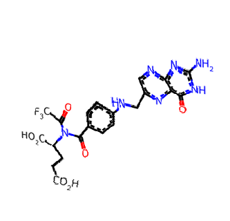 Nc1nc2ncc(CNc3ccc(C(=O)N(C(=O)C(F)(F)F)[C@@H](CCC(=O)O)C(=O)O)cc3)nc2c(=O)[nH]1